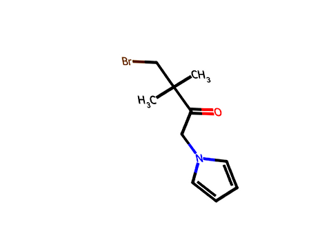 CC(C)(CBr)C(=O)Cn1cccc1